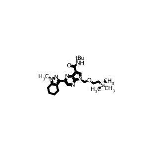 Cn1nc(-c2cnc3c(n2)c(C(=O)NC(C)(C)C)cn3COCC[Si](C)(C)C)c2c1CCCC2